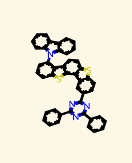 c1ccc(-c2nc(-c3ccccc3)nc(-c3ccc4sc5ccc6c(sc7cccc(-n8c9ccccc9c9ccccc98)c76)c5c4c3)n2)cc1